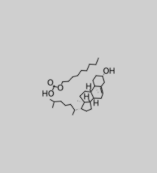 CC(C)CCCC(C)[C@H]1CC[C@H]2[C@@H]3CC=C4C[C@@H](O)CC[C@]4(C)[C@H]3CC[C@]12C.CCCCCCCCCOC(=O)O